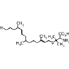 C/C(=C\CSC(C)(C)C(N)C(=O)O)CCCC(C)CCCC(C)CCCC(C)C